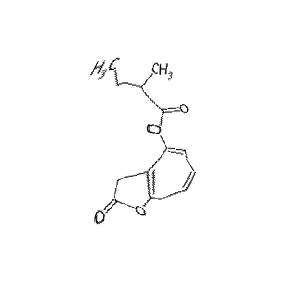 CCC(C)C(=O)Oc1cccc2c1CC(=O)O2